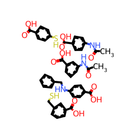 CC(=O)Nc1ccc(C(=O)O)cc1.CC(=O)Nc1cccc(C(=O)O)c1.O=C(O)c1ccc(NCc2ccccc2)cc1.O=C(O)c1ccc(S)cc1.O=C(O)c1cccc(CS)c1